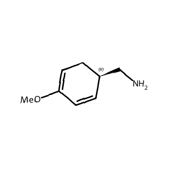 COC1=CC[C@@H](CN)C=C1